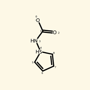 [O]C(=O)N[SH]1C=CC=C1